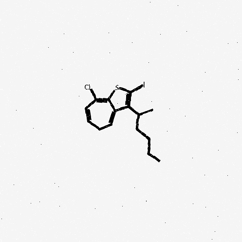 CCCCC(C)c1c(I)sc2c1=CCC=CC=2Cl